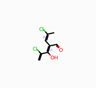 C=C(Cl)/C(O)=C(C=O)\C=C(/C)Cl